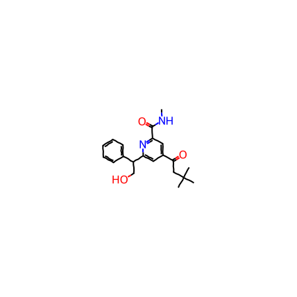 CNC(=O)c1cc(C(=O)CC(C)(C)C)cc(C(CO)c2ccccc2)n1